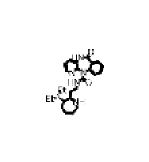 CCN(CC)C1CCCCNC1CCNC(=O)N1c2ccccc2C(=O)Nc2cccnc21